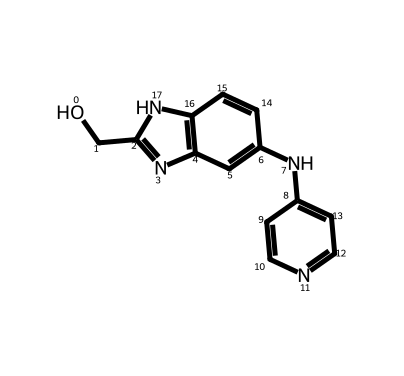 OCc1nc2cc(Nc3ccncc3)ccc2[nH]1